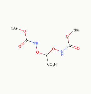 CC(C)(C)OC(=O)NOC(ONC(=O)OC(C)(C)C)C(=O)O